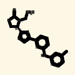 Cc1ccnc(Nc2cccc(-c3cnc([C@@H]4COC(=O)N4CC(=O)O)s3)n2)c1